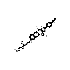 CCOC(=O)CCOc1ccc2c(c1)CCN(C(=O)c1sc(-c3ccc(C(F)(F)F)cc3)nc1C)C2